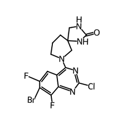 O=C1NCC2(CCCN(c3nc(Cl)nc4c(F)c(Br)c(F)cc34)C2)N1